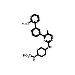 COc1ncccc1-c1cccc(-c2nc(NC3CCC(NC(=O)O)CC3)ncc2F)c1